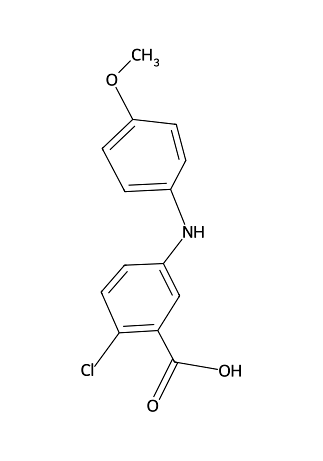 COc1ccc(Nc2ccc(Cl)c(C(=O)O)c2)cc1